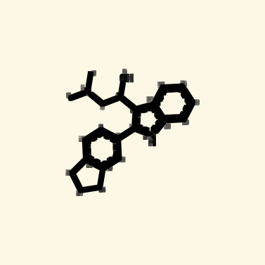 CN(C)CC(O)c1c(-c2ccc3c(c2)CCC3)[nH]c2ccccc12